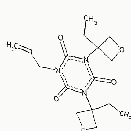 C=CCn1c(=O)n(C2(CC)COC2)c(=O)n(C2(CC)COC2)c1=O